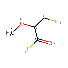 O=C(F)C(CF)OC(F)(F)F